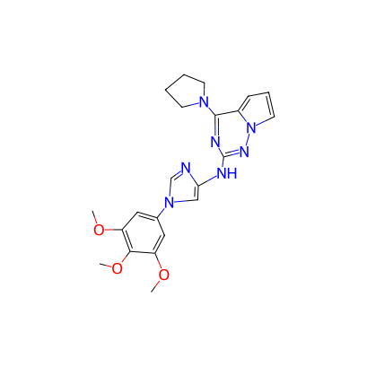 COc1cc(-n2cnc(Nc3nc(N4CCCC4)c4cccn4n3)c2)cc(OC)c1OC